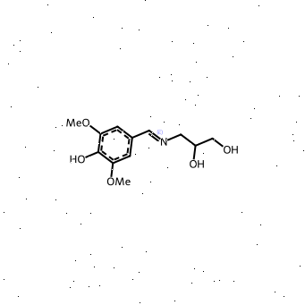 COc1cc(/C=N/CC(O)CO)cc(OC)c1O